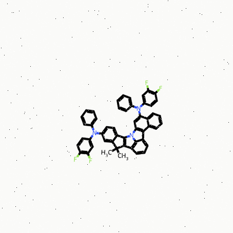 CC1(C)c2cc(N(c3ccccc3)c3ccc(F)c(F)c3)ccc2-c2c1c1cccc3c4c5ccccc5c(N(c5ccccc5)c5ccc(F)c(F)c5)cc4n2c13